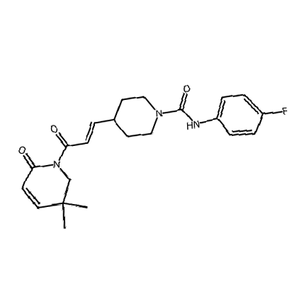 CC1(C)C=CC(=O)N(C(=O)C=CC2CCN(C(=O)Nc3ccc(F)cc3)CC2)C1